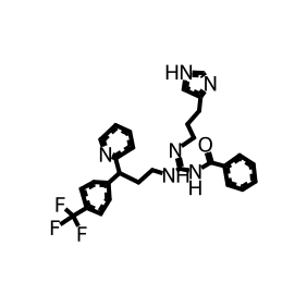 O=C(NC(=NCCCc1c[nH]cn1)NCCC(c1ccc(C(F)(F)F)cc1)c1ccccn1)c1ccccc1